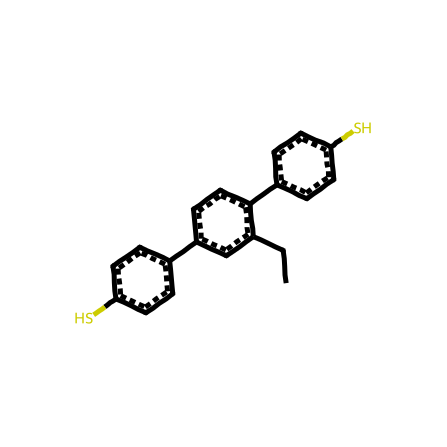 CCc1cc(-c2ccc(S)cc2)ccc1-c1ccc(S)cc1